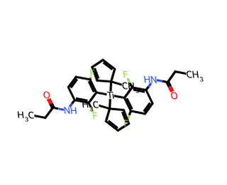 CCC(=O)Nc1ccc(F)[c]([Ti]([c]2c(F)ccc(NC(=O)CC)c2F)([C]2(C)C=CC=C2)[C]2(C)C=CC=C2)c1F